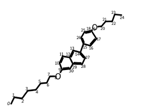 CCCCCCCCOc1ccc2cc(-c3ccc(OCCCCC)cc3)ccc2c1